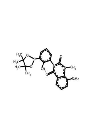 COc1cccc2c(=O)n(-c3cccc(B4OC(C)(C)C(C)(C)O4)c3C)c(=O)n(C)c12